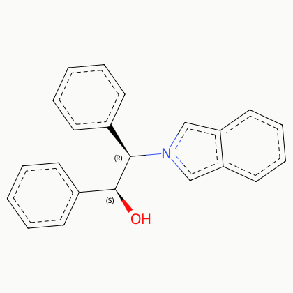 O[C@@H](c1ccccc1)[C@@H](c1ccccc1)n1cc2ccccc2c1